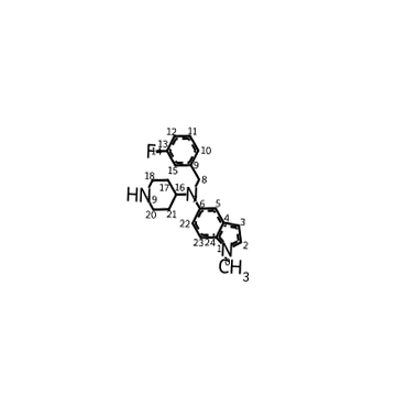 Cn1ccc2cc(N(Cc3cccc(F)c3)C3CCNCC3)ccc21